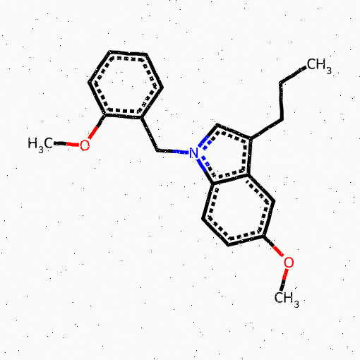 CCCc1cn(Cc2ccccc2OC)c2ccc(OC)cc12